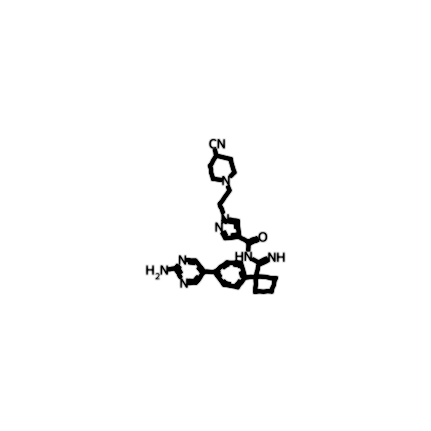 N#CC1CCN(CCn2cc(C(=O)NC(=N)C3(c4ccc(-c5cnc(N)nc5)cc4)CCC3)cn2)CC1